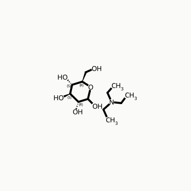 CCN(CC)CC.OC[C@H]1OC(O)[C@H](O)[C@@H](O)[C@@H]1O